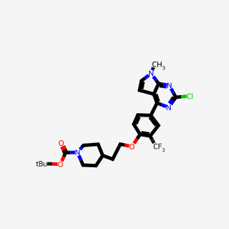 Cn1ccc2c(-c3ccc(OCCC4CCN(C(=O)OC(C)(C)C)CC4)c(C(F)(F)F)c3)nc(Cl)nc21